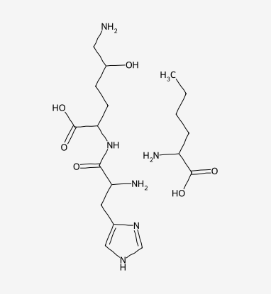 CCCCC(N)C(=O)O.NCC(O)CCC(NC(=O)C(N)Cc1c[nH]cn1)C(=O)O